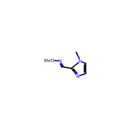 CON=Cc1nccn1C